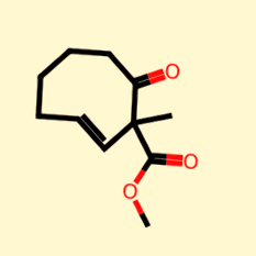 COC(=O)C1(C)/C=C/CCCCC1=O